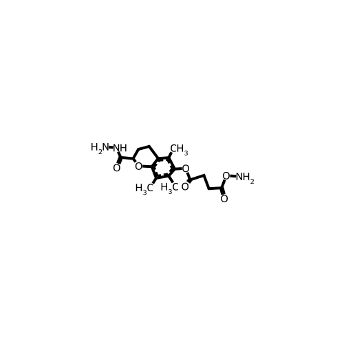 Cc1c(C)c2c(c(C)c1OC(=O)CCC(=O)ON)CCC(C(=O)NN)O2